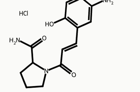 Cl.NC(=O)C1CCCN1C(=O)C=Cc1cc(N)ccc1O